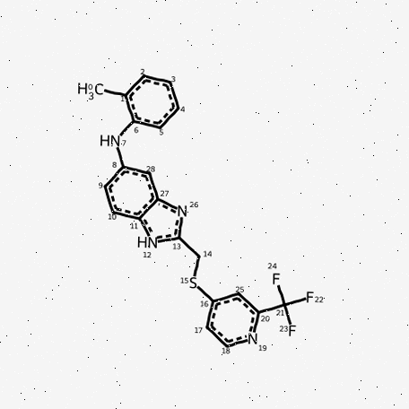 Cc1ccccc1Nc1ccc2[nH]c(CSc3ccnc(C(F)(F)F)c3)nc2c1